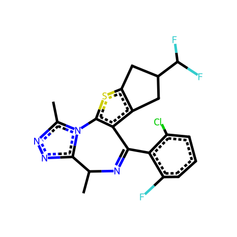 Cc1nnc2n1-c1sc3c(c1C(c1c(F)cccc1Cl)=NC2C)CC(C(F)F)C3